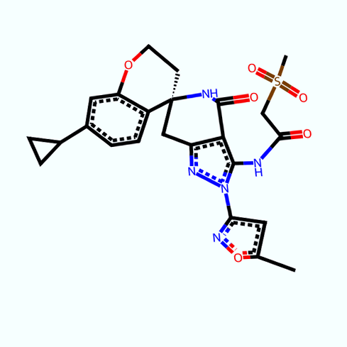 Cc1cc(-n2nc3c(c2NC(=O)CS(C)(=O)=O)C(=O)N[C@@]2(CCOc4cc(C5CC5)ccc42)C3)no1